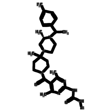 CCNC(=O)Nc1nc(C)c(C(=O)N2CCC(C)(N3CCN(C(C)c4ccc(C(F)(F)F)cc4)[C@@H](C)C3)CC2)c(C)n1